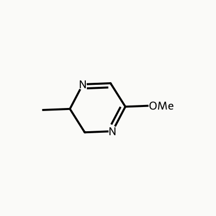 COC1=NCC(C)N=C1